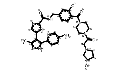 Nc1ccc(-c2[nH]nc(C(F)(F)F)c2-c2cnc(C(=O)NCc3ccc(C(=O)N4CCN(C(=O)CN5CC[C@H](O)C5)CC4)c(Cl)c3)[nH]2)nc1